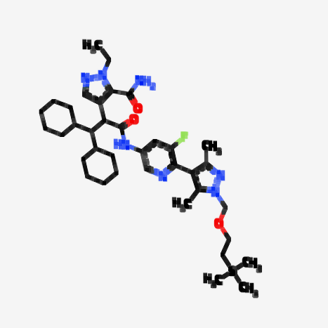 CCn1ncc(C(C(=O)Nc2cnc(-c3c(C)nn(COCC[Si](C)(C)C)c3C)c(F)c2)C(C2CCCCC2)C2CCCCC2)c1C(N)=O